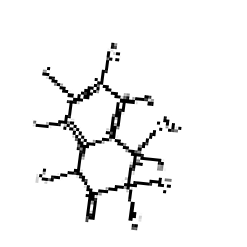 C=C1C(C(C)C)c2c(C)c(C)c(CC)c(C)c2C(C)(NC)C1(CC)CC